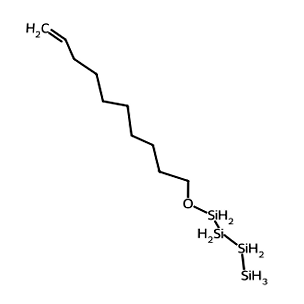 C=CCCCCCCCCO[SiH2][SiH2][SiH2][SiH3]